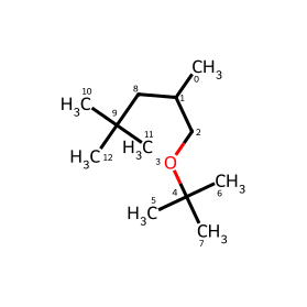 CC(COC(C)(C)C)CC(C)(C)C